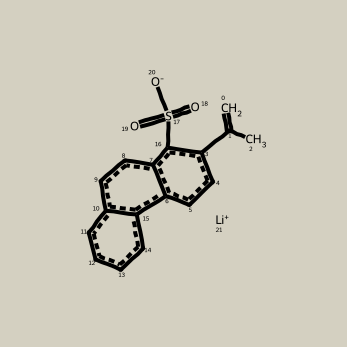 C=C(C)c1ccc2c(ccc3ccccc32)c1S(=O)(=O)[O-].[Li+]